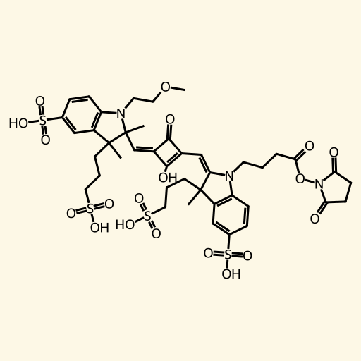 COCCN1c2ccc(S(=O)(=O)O)cc2C(C)(CCCS(=O)(=O)O)C1(C)/C=C1\C(=O)C(/C=C2/N(CCCC(=O)ON3C(=O)CCC3=O)c3ccc(S(=O)(=O)O)cc3C2(C)CCCS(=O)(=O)O)=C1O